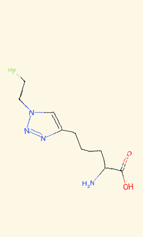 NC(CCCc1cn(CC[18F])nn1)C(=O)O